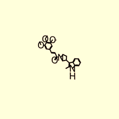 COc1cc(/C=C/C(=O)N2CCC(c3c(C)[nH]c4ccccc34)C2)cc(OC)c1OC